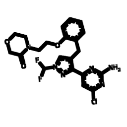 Nc1nc(Cl)cc(-c2nn(C(F)F)cc2Cc2ccccc2OCCN2CCOCC2=O)n1